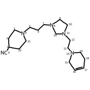 N#CC1CCN(CCCN2CCN(CCN3CC=CCC3)C2)CC1